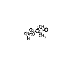 COc1cc(C(=O)N2CCC[C@H]2C(=O)N2CCCC2C#N)cc(OC)c1OCc1ccccc1